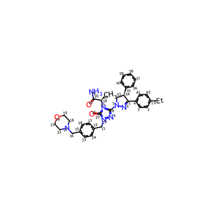 CCc1ccc(C2=NN(c3nn(Cc4ccc(CN5CCOCC5)cc4)c(=O)n3[C@H](C)C(N)=O)C[C@H]2c2ccccc2)cc1